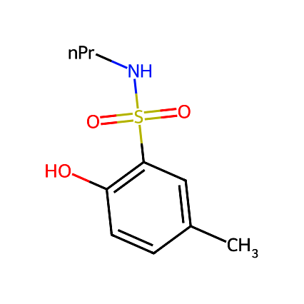 CCCNS(=O)(=O)c1cc(C)ccc1O